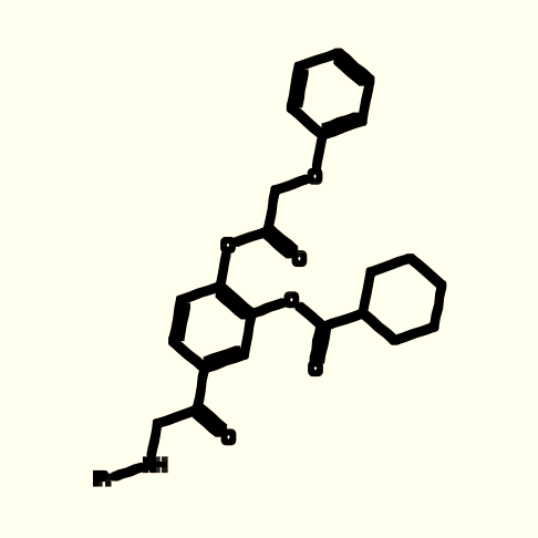 CC(C)NCC(=O)c1ccc(OC(=O)COc2ccccc2)c(OC(=O)C2CCCCC2)c1